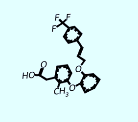 Cc1c(CC(=O)O)cccc1Oc1ccccc1OCC=Cc1ccc(C(F)(F)F)cc1